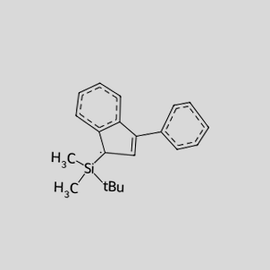 CC(C)(C)[Si](C)(C)[C]1C=C(c2ccccc2)c2ccccc21